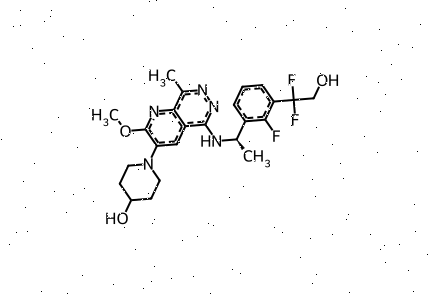 COc1nc2c(C)nnc(N[C@H](C)c3cccc(C(F)(F)CO)c3F)c2cc1N1CCC(O)CC1